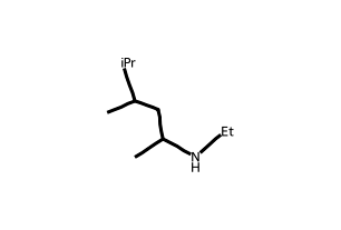 CCNC(C)CC(C)C(C)C